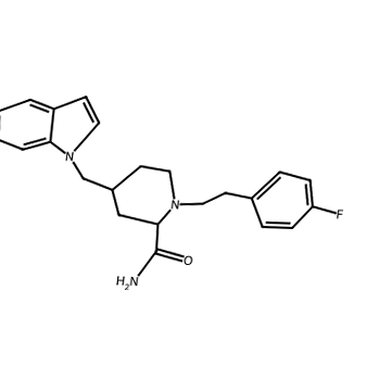 NC(=O)C1CC(Cn2ccc3ccccc32)CCN1CCc1ccc(F)cc1